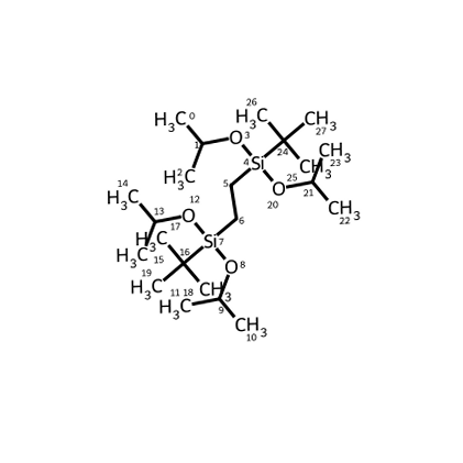 CC(C)O[Si](CC[Si](OC(C)C)(OC(C)C)C(C)(C)C)(OC(C)C)C(C)(C)C